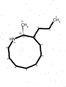 CCCC1CCCCCCCN[C@@H]1C